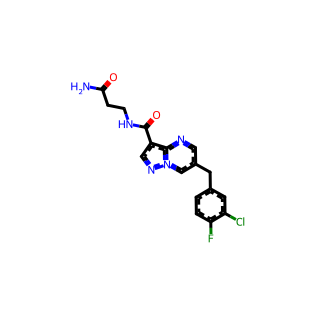 NC(=O)CCNC(=O)c1cnn2cc(Cc3ccc(F)c(Cl)c3)cnc12